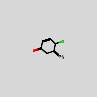 C=C1CC(=O)C=CC1Cl